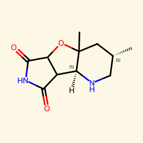 C[C@@H]1CN[C@H]2C3C(=O)NC(=O)C3OC2(C)C1